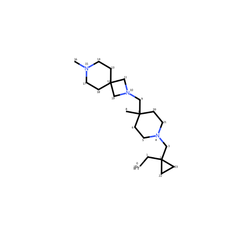 CC(C)CC1(CN2CCC(C)(CN3CC4(CCN(C)CC4)C3)CC2)CC1